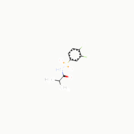 CC(C)C(=O)NS(=O)(=O)c1ccc(F)c(F)c1